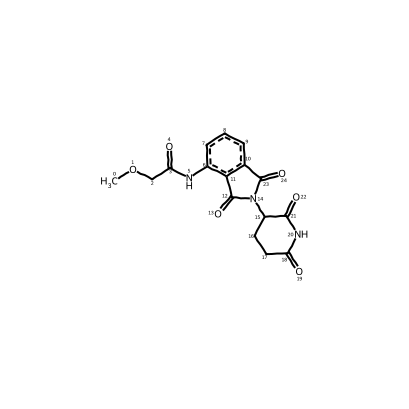 COCC(=O)Nc1cccc2c1C(=O)N(C1CCC(=O)NC1=O)C2=O